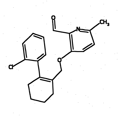 Cc1ccc(OCC2=C(c3ccccc3Cl)CCCC2)c(C=O)n1